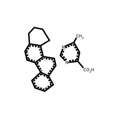 Cc1cc(C(=O)O)ncn1.c1ccc2c(c1)ccc1c3c(ccc12)CCCC3